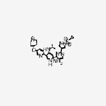 CC(C)NC1=CC(N)(c2ccnc(-c3cnn(S(=O)(=O)C4CC4)c3)n2)NC=C1c1ccc(OC2CCN(C)CC2)cn1